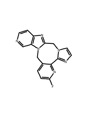 Fc1ccc2c(n1)-c1nccn1Cc1nc3ccncc3n1C2